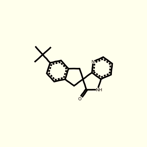 CC(C)(C)c1ccc2c(c1)CC1(C2)C(=O)Nc2cccnc21